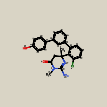 CN1C(=O)CC(C)(c2c(Cl)cccc2-c2cccc(-c3ccc(O)cc3)c2)N=C1N